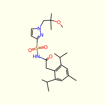 COC(C)(C)Cn1ccc(S(=O)(=O)NC(=O)Cc2c(C(C)C)cc(C)cc2C(C)C)n1